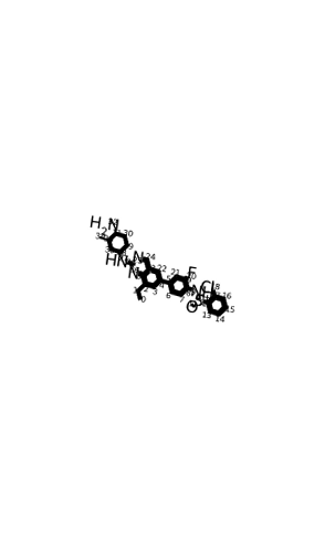 CCc1cc(-c2ccc(N[S+]([O-])c3ccccc3Cl)c(F)c2)cc2cnc(NC3CC[C@@H](N)[C@H](C)C3)nc12